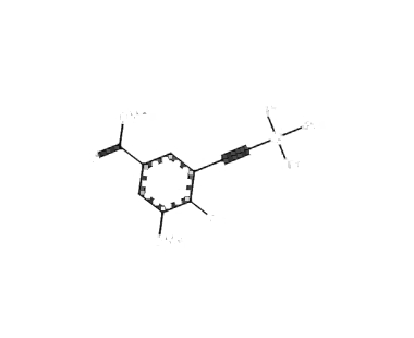 COC(=O)c1cc(C#C[Si](C(C)C)(C(C)C)C(C)C)c(Cl)c(OC)c1